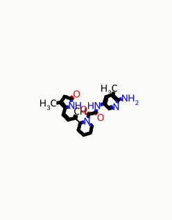 C=C(/C=C\C1=C(C)CC(=O)N1)[C@@H]1CCCCN1C(=O)C(=O)Nc1cnc(N)c(C)c1